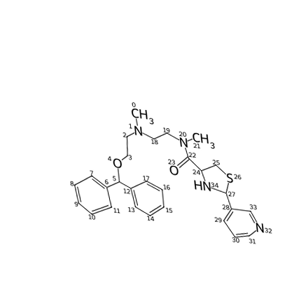 CN(CCOC(c1ccccc1)c1ccccc1)CCN(C)C(=O)C1CSC(c2cccnc2)N1